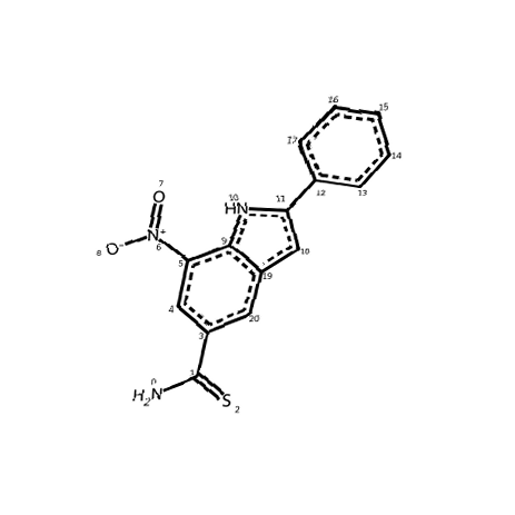 NC(=S)c1cc([N+](=O)[O-])c2[nH]c(-c3ccccc3)cc2c1